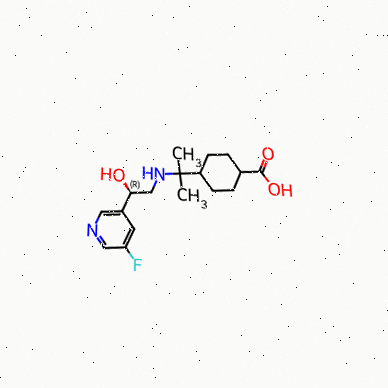 CC(C)(NC[C@H](O)c1cncc(F)c1)C1CCC(C(=O)O)CC1